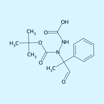 CC(C)(C)OC(=O)N(NC(=O)O)C(C)(C=O)c1ccccc1